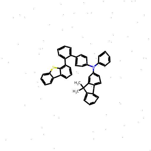 CC1(C)c2ccccc2-c2ccc(N(c3ccccc3)c3ccc(-c4ccccc4-c4cccc5c4sc4ccccc45)cc3)cc21